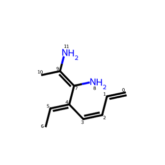 C=C\C=C/C(=C\C)C(/N)=C(\C)N